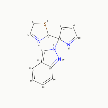 C1=CC(C2N=CCS2)(n2cc3ccccc3n2)N=C1